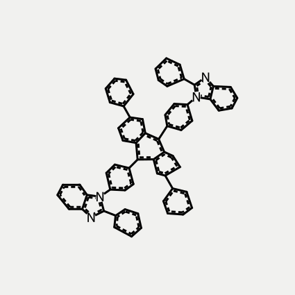 c1ccc(-c2ccc3c(-c4ccc(-n5c(-c6ccccc6)nc6ccccc65)cc4)c4cc(-c5ccccc5)ccc4c(-c4ccc(-n5c(-c6ccccc6)nc6ccccc65)cc4)c3c2)cc1